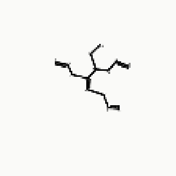 C=CCC=C(CC=C)[C](CC)CC=C